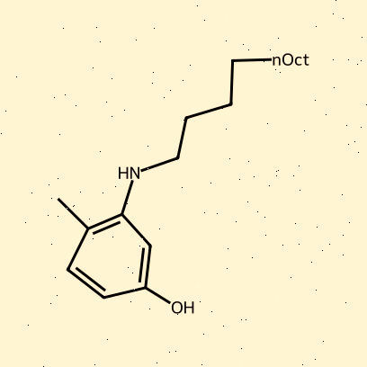 CCCCCCCCCCCCNc1cc(O)ccc1C